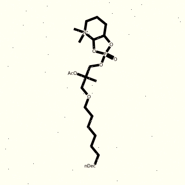 CCCCCCCCCCCCCCCCOCC(C)(COP1(=O)OC2CCC[N+](C)(C)C2O1)OC(C)=O